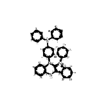 c1ccc(N(c2ccccc2)c2ccc(N3c4ccccc4Sc4c3n(-c3ccccc3)c3ccccc43)cc2)cc1